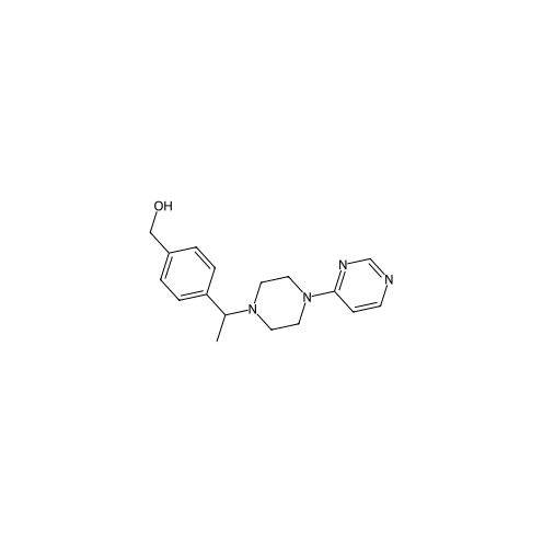 CC(c1ccc(CO)cc1)N1CCN(c2ccncn2)CC1